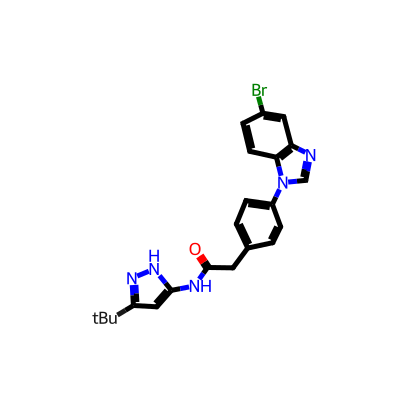 CC(C)(C)c1cc(NC(=O)Cc2ccc(-n3cnc4cc(Br)ccc43)cc2)[nH]n1